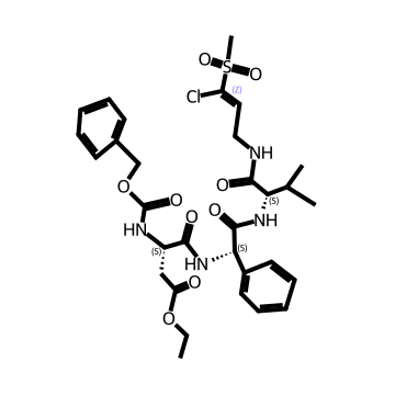 CCOC(=O)C[C@H](NC(=O)OCc1ccccc1)C(=O)N[C@H](C(=O)N[C@H](C(=O)NC/C=C(\Cl)S(C)(=O)=O)C(C)C)c1ccccc1